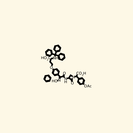 CC(=O)Oc1ccc(C(C(=O)O)N2CC(NC(=O)C(=NO)c3ccc(OCCC(NC(c4ccccc4)(c4ccccc4)c4ccccc4)C(=O)O)cc3)C2=O)cc1.c1ccccc1